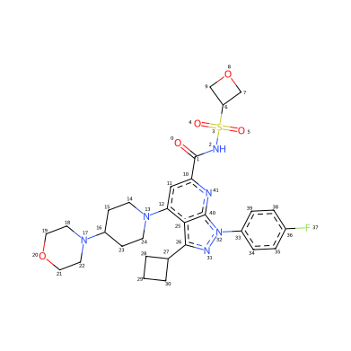 O=C(NS(=O)(=O)C1COC1)c1cc(N2CCC(N3CCOCC3)CC2)c2c(C3CCC3)nn(-c3ccc(F)cc3)c2n1